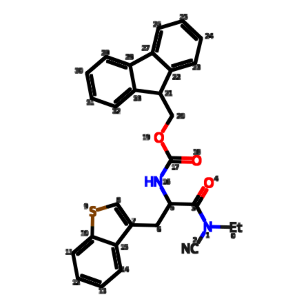 CCN(C#N)C(=O)C(Cc1csc2ccccc12)NC(=O)OCC1c2ccccc2-c2ccccc21